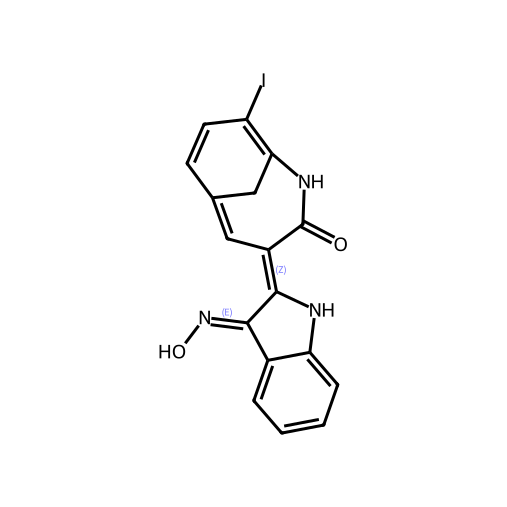 O=C1NC2=C(I)C=CC(=C/C1=C1/Nc3ccccc3/C1=N\O)C2